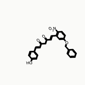 O=C(C=Cc1ccc(O)cc1)CC(=O)C=Cc1cc(OCc2ccccc2)ccc1[N+](=O)[O-]